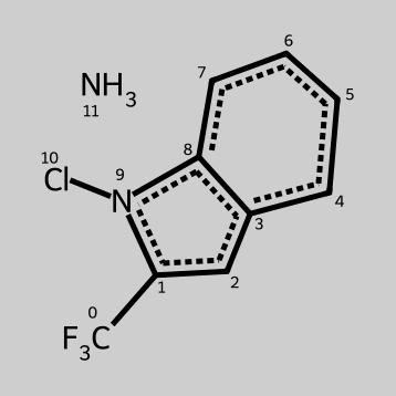 FC(F)(F)c1cc2ccccc2n1Cl.N